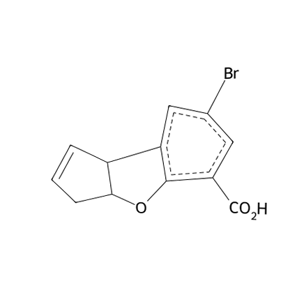 O=C(O)c1cc(Br)cc2c1OC1CC=CC21